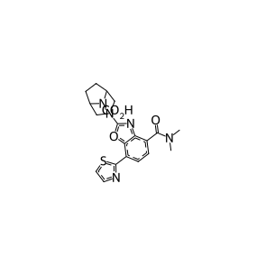 CN(C)C(=O)c1ccc(-c2nccs2)c2oc(N3CC4CCC(C3)N4C(=O)O)nc12